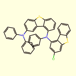 Clc1cc(N(c2ccccc2)c2cccc3sc4ccc(N(c5ccccc5)c5ccccc5)cc4c23)c2c(c1)sc1ccccc12